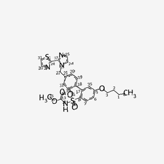 CCCCOc1ccc(S(=O)(=O)NC(=O)OC)c(-c2ccc(Cn3ccnc3-c3nccs3)cc2)c1